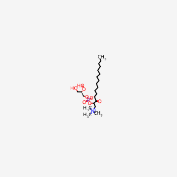 CCCCCCCCCCCCCC(=O)C(C[N+](C)(C)C)OP(=O)([O-])OC[C@@H](CO)OO